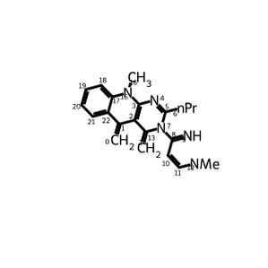 C=C1C2=C(N=C(CCC)N(C(=N)/C=C\NC)C2=C)N(C)c2ccccc21